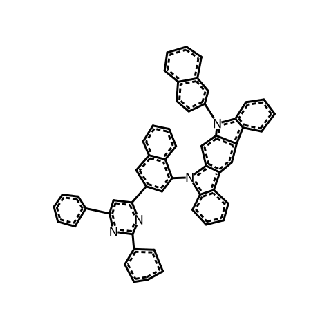 c1ccc(-c2cc(-c3cc(-n4c5ccccc5c5cc6c7ccccc7n(-c7ccc8ccccc8c7)c6cc54)c4ccccc4c3)nc(-c3ccccc3)n2)cc1